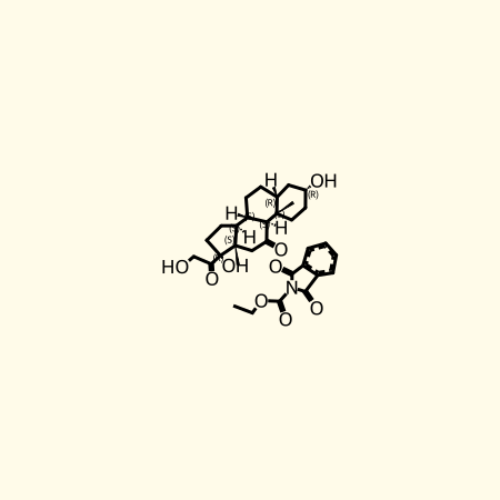 CCOC(=O)N1C(=O)c2ccccc2C1=O.C[C@]12CC[C@@H](O)C[C@H]1CC[C@@H]1[C@@H]2C(=O)C[C@@]2(C)[C@H]1CC[C@]2(O)C(=O)CO